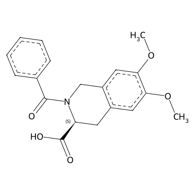 COc1cc2c(cc1OC)CN(C(=O)c1ccccc1)[C@H](C(=O)O)C2